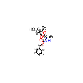 CCC(OC(=O)[C@@H](NC(=O)OCc1ccccc1)C(C)C)C(C)(C)C(=O)O